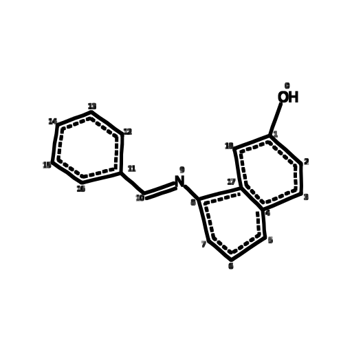 Oc1ccc2cccc(N=Cc3ccccc3)c2c1